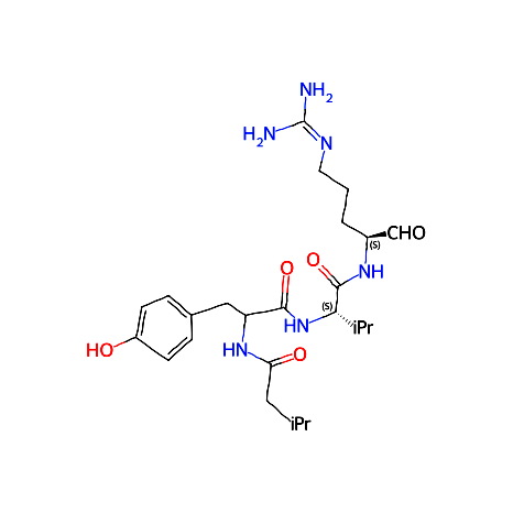 CC(C)CC(=O)NC(Cc1ccc(O)cc1)C(=O)N[C@H](C(=O)N[C@H](C=O)CCCN=C(N)N)C(C)C